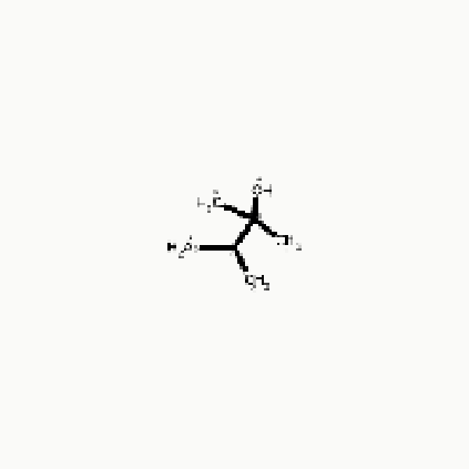 CC([AsH2])C(C)(C)O